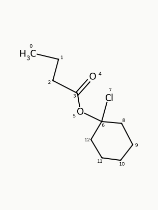 CCCC(=O)OC1(Cl)CCCCC1